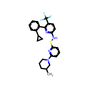 CC1CCCN(c2cccc(SNc3ccc(C(F)(F)F)c(-c4ccccc4C4CC4)n3)n2)C1